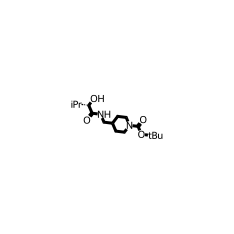 CC(C)[C@H](O)C(=O)NCC1CCN(C(=O)OC(C)(C)C)CC1